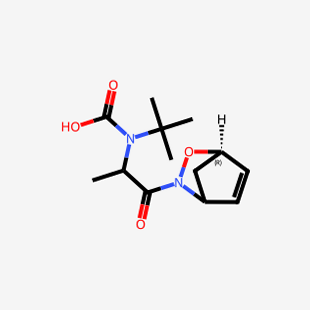 CC(C(=O)N1O[C@H]2C=CC1C2)N(C(=O)O)C(C)(C)C